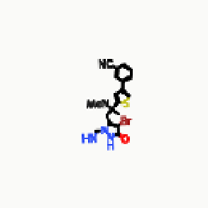 CN[C@@](C)(Cc1c(Br)c(=O)[nH]n1C=N)c1cc(-c2cccc(C#N)c2)cs1